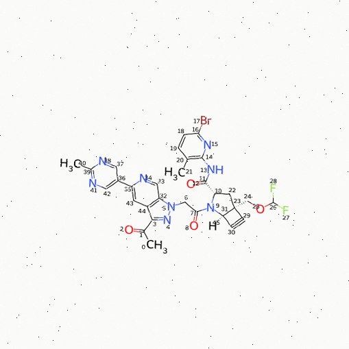 CC(=O)c1nn(CC(=O)N2[C@H](C(=O)Nc3nc(Br)ccc3C)C[C@@]3(COC(F)F)C#C[C@@H]23)c2cnc(-c3cnc(C)nc3)cc12